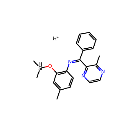 Cc1ccc(N=C(c2ccccc2)c2nccnc2C)c(O[SiH](C)C)c1.[H+]